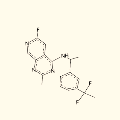 Cc1nc(NC(C)c2cccc(C(C)(F)F)c2)c2cc(F)ncc2n1